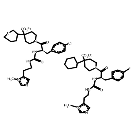 CCOC(=O)C1(C2CCCCC2)CCN(C(=O)[C@@H](Cc2ccc(Cl)cc2)NC(=O)NCCc2cncn2C)CC1.CCOC(=O)C1(C2CCCCC2)CCN(C(=O)[C@@H](Cc2ccc(F)cc2)NC(=O)NCCc2cncn2C)CC1